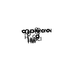 Br.Br.CN1CCN(C2CCN(C(=O)[C@@H](Cc3cc(Cl)c(N)c(C(F)(F)F)c3)OC(=O)N3CCC(N4CCc5ccccc5NC4=O)CC3)CC2)CC1